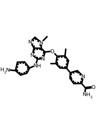 Cc1cc(-c2ccc(C(N)=O)nc2)cc(C)c1Oc1nc(Nc2ccc(N)cc2)nc2ncn(C)c12